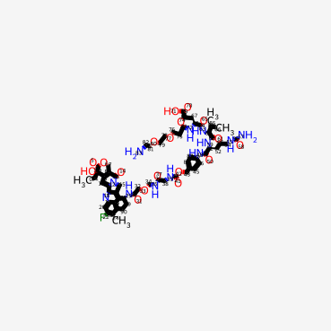 CC[C@@]1(O)C(=O)OCc2c1cc1n(c2=O)Cc2c-1nc1cc(F)c(C)c3c1c2[C@@H](NC(=O)COCNC(=O)CNC(=O)OCc1ccc(NC(=O)[C@H](CCCNC(N)=O)NC(=O)[C@@H](NC(=O)[C@H](CCC(=O)O)NC(=O)CCOCCOCCN)C(C)C)cc1)CC3